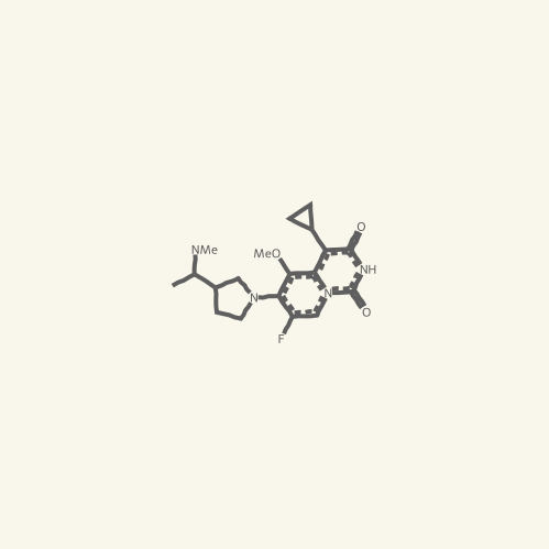 CNC(C)C1CCN(c2c(F)cn3c(=O)[nH]c(=O)c(C4CC4)c3c2OC)C1